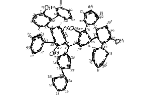 Oc1cccc(-c2ccc(C(c3ccc(-c4ccccc4)cc3)c3ccc(-c4cccc(O)c4-c4ccccc4)c(-c4ccccc4)c3O)c(O)c2-c2ccccc2)c1-c1ccccc1